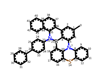 Cc1cc2c3c(c1)N1c4ccccc4Sc4cccc(c41)B3N(c1ccc(-c3ccccc3)cc1)c1c-2ccc2ccccc12